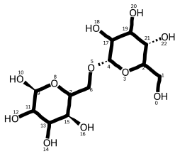 OCC1O[C@H](OCC2O[C@H](O)C(O)C(O)[C@@H]2O)C(O)C(O)[C@@H]1O